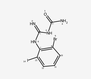 N=C(NC(N)=O)Nc1c(Br)cccc1I